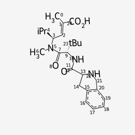 C/C(=C\[C@H](C(C)C)N(C)C(=O)[C@@H](NC(=O)C1Cc2ccccc2CN1)C(C)(C)C)C(=O)O